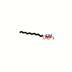 CCCCCCCCCCCCO[SiH2]OC